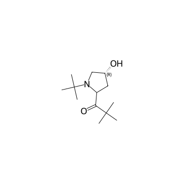 CC(C)(C)C(=O)C1C[C@@H](O)CN1C(C)(C)C